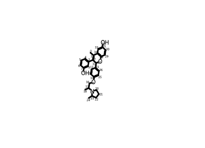 CC1=C(c2cccc(O)c2)C(c2ccc(OCC(C)N3CCCC3C)cc2)Oc2ccc(O)cc21